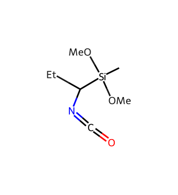 CCC(N=C=O)[Si](C)(OC)OC